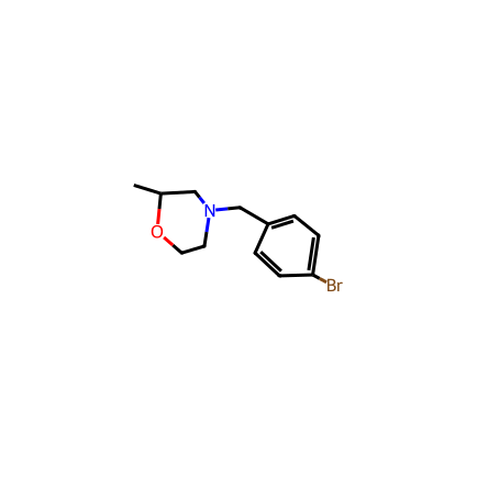 CC1CN(Cc2ccc(Br)cc2)CCO1